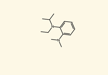 CCN(c1c[c]ccc1N(C)C)C(C)C